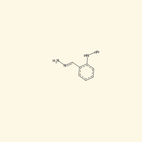 CCCNc1ccccc1C=NN